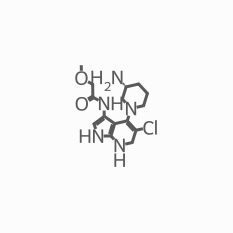 COCC(=O)Nc1c[nH]c2c1C(N1CCC[C@@H](N)C1)=C(Cl)CN2